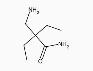 CCC(CC)(CN)C(N)=O